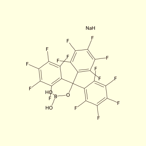 OB(O)OC(c1c(F)c(F)c(F)c(F)c1F)(c1c(F)c(F)c(F)c(F)c1F)c1c(F)c(F)c(F)c(F)c1F.[NaH]